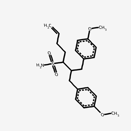 C=CCCC(C(Cc1ccc(OC)cc1)Cc1ccc(OC)cc1)S(N)(=O)=O